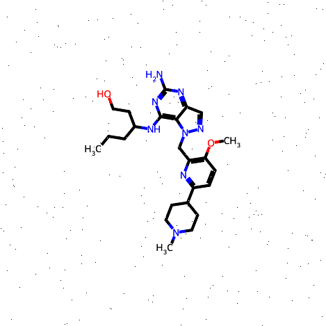 CCCC(CCO)Nc1nc(N)nc2cnn(Cc3nc(C4CCN(C)CC4)ccc3OC)c12